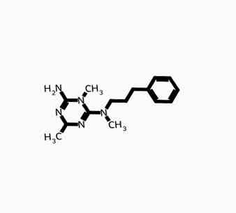 CC1N=C(N)N(C)C(N(C)CCCc2ccccc2)=N1